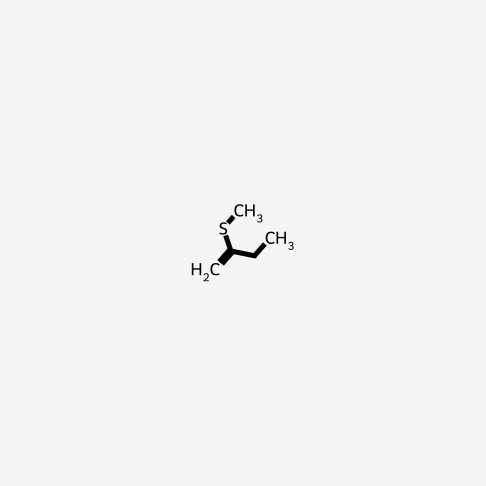 C=C(CC)SC